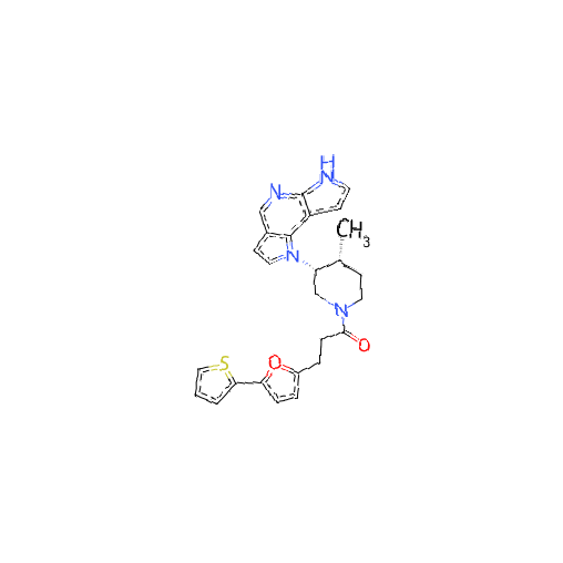 C[C@@H]1CCN(C(=O)CCc2ccc(-c3cccs3)o2)C[C@@H]1n1ccc2cnc3[nH]ccc3c21